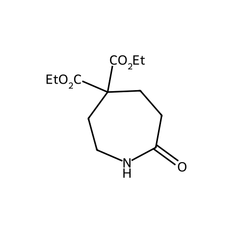 CCOC(=O)C1(C(=O)OCC)CCNC(=O)CC1